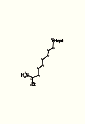 [CH2]CC(N)CCCCCCCCCCCCCC